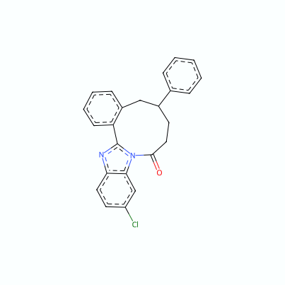 O=C1CCC(c2ccccc2)Cc2ccccc2-c2nc3ccc(Cl)cc3n21